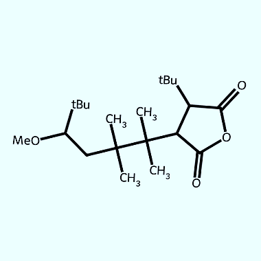 COC(CC(C)(C)C(C)(C)C1C(=O)OC(=O)C1C(C)(C)C)C(C)(C)C